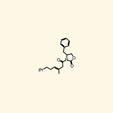 CC(=CCCC(C)C)CC(=O)N1C(=O)OCC1Cc1ccccc1